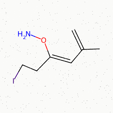 C=C(C)/C=C(/CCI)ON